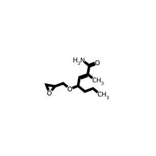 CCCC(C=C(C)C(N)=O)OCC1CO1